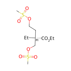 CCOC(=O)[C@](CC)(CCOS(C)(=O)=O)COS(C)(=O)=O